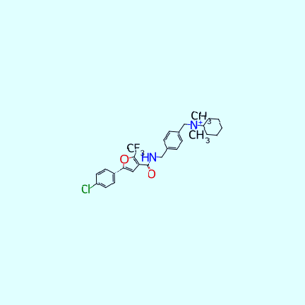 C[N+](C)(Cc1ccc(CNC(=O)c2cc(-c3ccc(Cl)cc3)oc2C(F)(F)F)cc1)C1CCCCC1